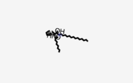 CCCCCCCCCCCCC/C=C/C(O)C(CN1CCCC1)NC(=O)CCCCCCC